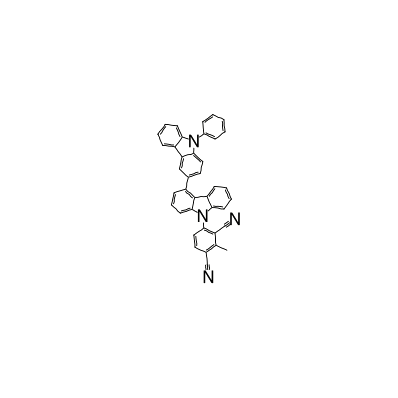 Cc1c(C#N)ccc(-n2c3ccccc3c3c(-c4ccc5c(c4)c4ccccc4n5-c4ccccc4)cccc32)c1C#N